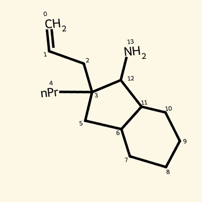 C=CCC1(CCC)CC2CCCCC2C1N